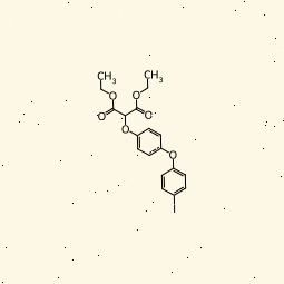 CCOC(=O)C(Oc1ccc(Oc2ccc(I)cc2)cc1)C(=O)OCC